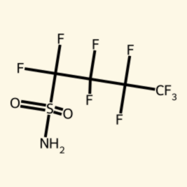 NS(=O)(=O)C(F)(F)C(F)(F)C(F)(F)C(F)(F)F